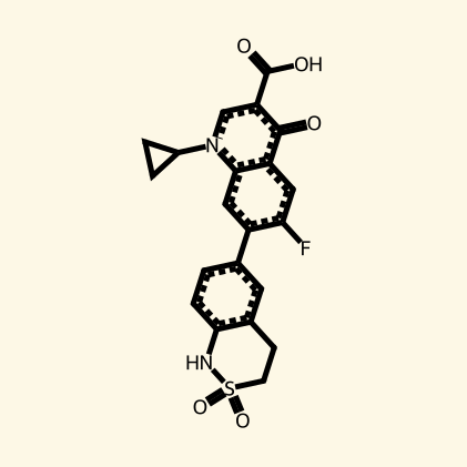 O=C(O)c1cn(C2CC2)c2cc(-c3ccc4c(c3)CCS(=O)(=O)N4)c(F)cc2c1=O